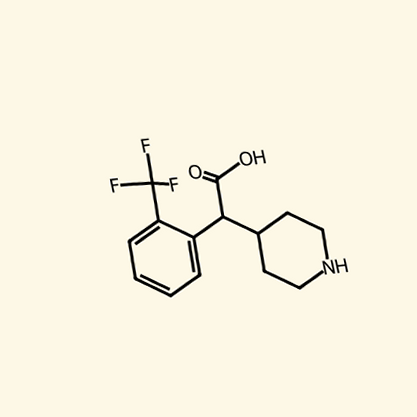 O=C(O)C(c1ccccc1C(F)(F)F)C1CCNCC1